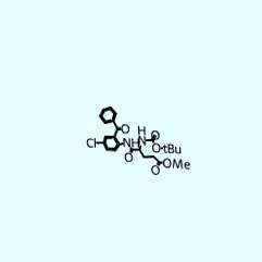 COC(=O)CCC(NC(=O)OC(C)(C)C)C(=O)Nc1ccc(Cl)cc1C(=O)c1ccccc1